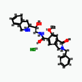 CCOc1cc2c(cc1C(=O)NCC(O)C1Cc3ccccc3CN1)CN(Cc1ccccc1)C2=O.Cl